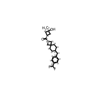 C[C@]1(O)C[C@@H](C(=O)N2CC3(CCC(Cc4ccc(C(F)F)cc4)CC3)C2)C1